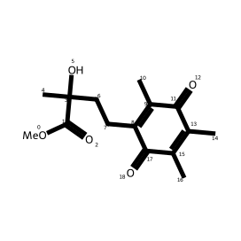 COC(=O)C(C)(O)CCC1=C(C)C(=O)C(C)=C(C)C1=O